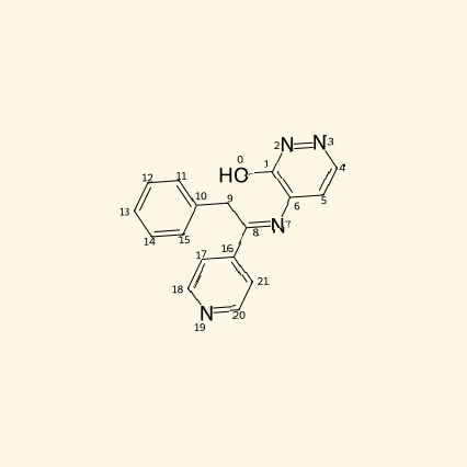 Oc1nnccc1/N=C(\Cc1ccccc1)c1ccncc1